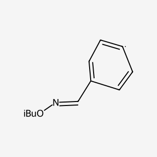 CC(C)CON=Cc1cc[c]cc1